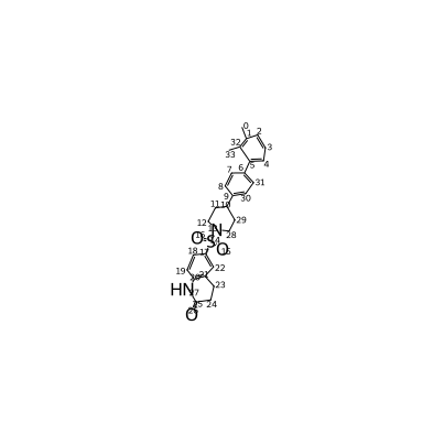 Cc1cccc(-c2ccc(C3CCN(S(=O)(=O)c4ccc5c(c4)CCC(=O)N5)CC3)cc2)c1C